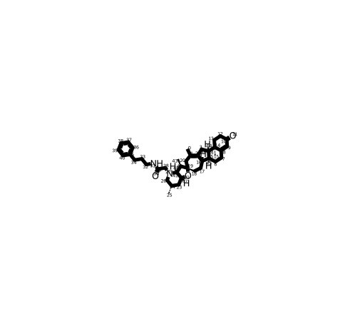 CC1=C2C[C@H]3[C@@H](CCC4=CC(=O)CC[C@@]43C)[C@@H]2CC[C@@]2(C1)O[C@@H]1C[C@H](C)CN(CC(=O)NCCCc3ccccc3)[C@H]1[C@H]2C